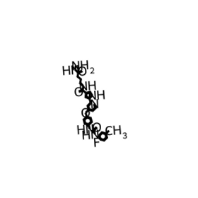 Cc1ccc(F)c(NC(=O)Nc2ccc(Oc3ccnc(-c4cc(C(=O)NCCCC(=O)NN)c[nH]4)c3)cc2)c1